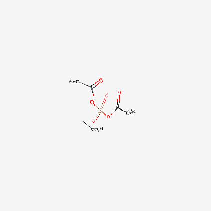 CC(=O)O.CC(=O)OC(=O)OS(=O)(=O)OC(=O)OC(C)=O